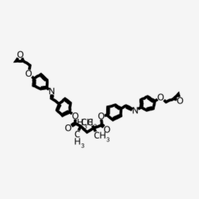 CC(C)(CC(C)(C)C(=O)Oc1ccc(/C=N/c2ccc(OCC3CO3)cc2)cc1)C(=O)Oc1ccc(/C=N/c2ccc(OCC3CO3)cc2)cc1